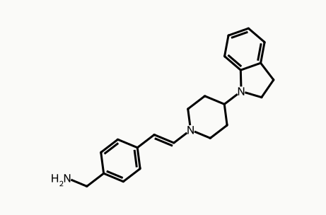 NCc1ccc(C=CN2CCC(N3CCc4ccccc43)CC2)cc1